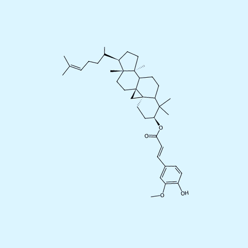 COc1cc(/C=C/C(=O)O[C@H]2CC[C@]34C[C@]35CC[C@]3(C)[C@@H](C(C)CCC=C(C)C)CC[C@@]3(C)C5CCC4C2(C)C)ccc1O